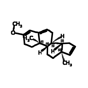 COC1=CC2=CC[C@H]3[C@@H]4CC=C[C@@]4(C)CC[C@@H]3[C@@]2(C)CC1